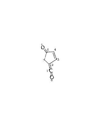 O=C=C1C=CC(=O)C1